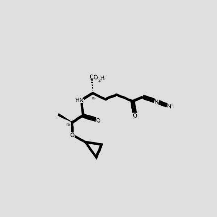 C[C@H](OC1CC1)C(=O)N[C@@H](CCC(=O)C=[N+]=[N-])C(=O)O